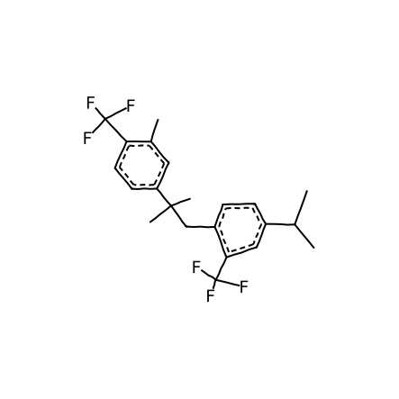 Cc1cc(C(C)(C)Cc2ccc(C(C)C)cc2C(F)(F)F)ccc1C(F)(F)F